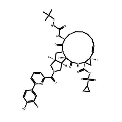 CC(C)(C)CNC(=O)N[C@H]1CCCCC/C=C\[C@H]2C[C@@]2(C(=O)NS(=O)(=O)C2CC2)NC(=O)[C@@H]2[C@H]3CN(C(=O)c4cccc(-c5ccc(O)c(F)c5)n4)C[C@H]3CN2C1=O